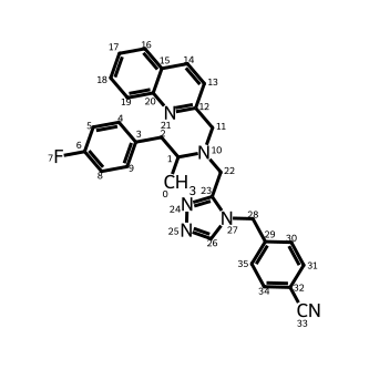 CC(Cc1ccc(F)cc1)N(Cc1ccc2ccccc2n1)Cc1nncn1Cc1ccc(C#N)cc1